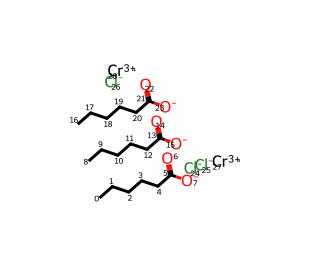 CCCCCC(=O)[O-].CCCCCC(=O)[O-].CCCCCC(=O)[O-].[Cl-].[Cl-].[Cl-].[Cr+3].[Cr+3]